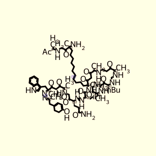 CCCC[C@H](NCN[C@@H](C)C(=O)CCN[C@@H](C)C(=O)CC(=O)[C@](C)(CCC/C=C/CCCCCC[C@@](C)(N)C(=O)CN[C@@H](C)C(C)=O)NC(=O)[C@H](CC(C)C)NN[C@@H](CCC(N)=O)C(=O)CN[C@@H](C)C(=O)CC(=O)[C@](C)(Cc1c[nH]c2ccccc12)/N=N\[C@H](C=O)CC1=CC=C(O)CC1)C(=O)CN[C@@H](C)C(=O)CN